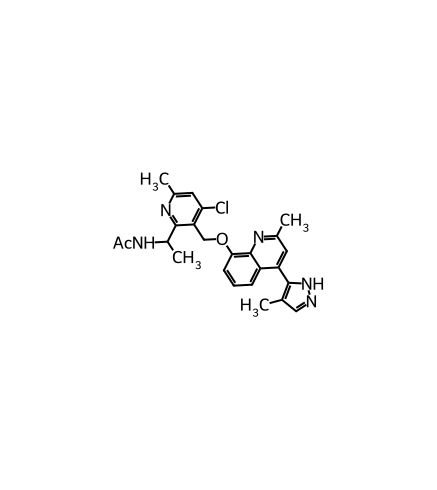 CC(=O)NC(C)c1nc(C)cc(Cl)c1COc1cccc2c(-c3[nH]ncc3C)cc(C)nc12